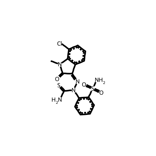 CN1C(=O)/C(=N\N(C(N)=S)c2ccccc2S(N)(=O)=O)c2cccc(Cl)c21